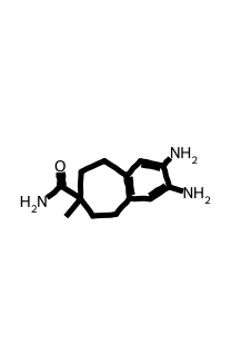 CC1(C(N)=O)CCc2cc(N)c(N)cc2CC1